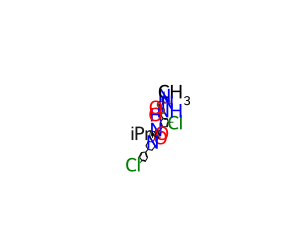 CC(C)[C@@H](NC(=O)c1cc(Cl)cc(C(=O)N[S+]([O-])c2cn(C)cn2)c1)C(=O)N1CCC(c2ccc(Cl)cc2)CC1